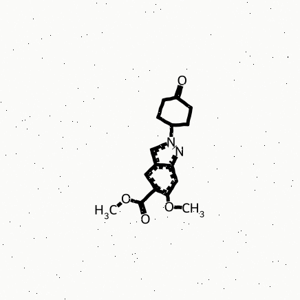 COC(=O)c1cc2cn(C3CCC(=O)CC3)nc2cc1OC